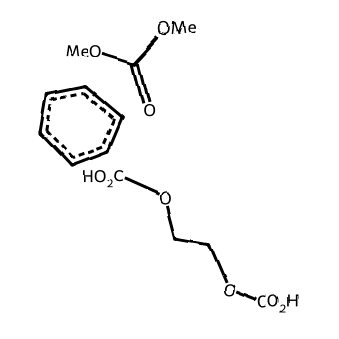 COC(=O)OC.O=C(O)OCCOC(=O)O.c1ccccc1